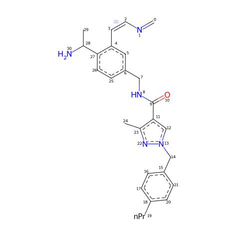 C=N/C=C\c1cc(CNC(=O)c2cn(Cc3ccc(CCC)cc3)nc2C)ccc1C(C)N